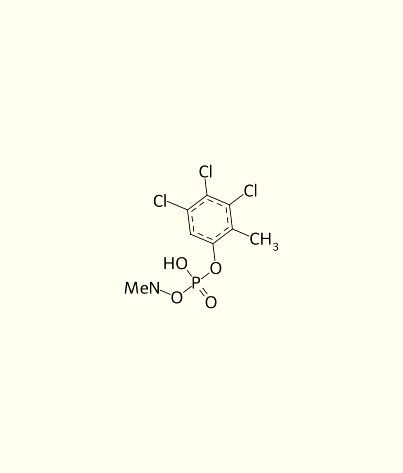 CNOP(=O)(O)Oc1cc(Cl)c(Cl)c(Cl)c1C